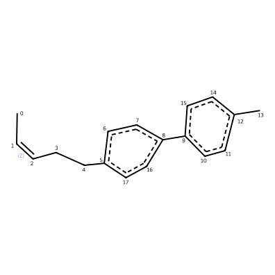 C/C=C\CCc1ccc(-c2ccc(C)cc2)cc1